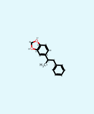 C[C](Cc1ccccc1)c1ccc2c(c1)OCO2